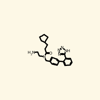 NCCN(Cc1ccc(-c2ccccc2-c2nnn[nH]2)cc1)C(=O)CCC1CCCC1